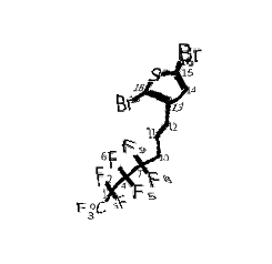 FC(F)(F)C(F)(F)C(F)(F)C(F)(F)CCCc1cc(Br)sc1Br